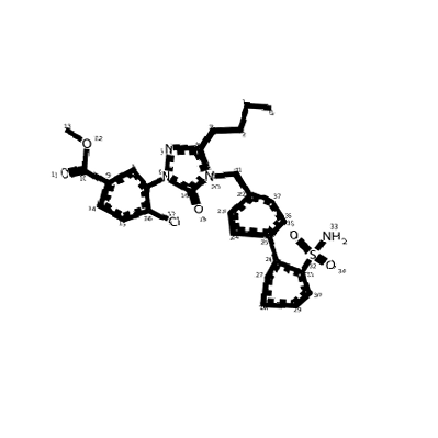 CCCCc1nn(-c2cc(C(=O)OC)ccc2Cl)c(=O)n1Cc1ccc(-c2ccccc2S(N)(=O)=O)cc1